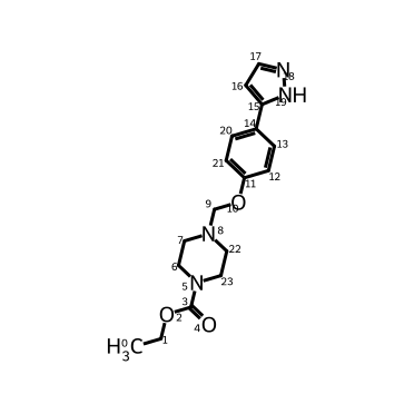 CCOC(=O)N1CCN(COc2ccc(-c3ccn[nH]3)cc2)CC1